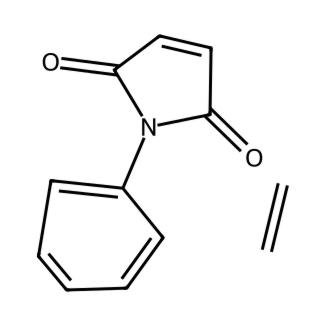 C=C.O=C1C=CC(=O)N1c1ccccc1